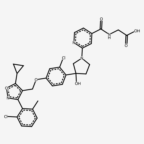 Cc1cccc(Cl)c1-c1noc(C2CC2)c1COc1ccc(C2(O)CCN(c3cc(C(=O)NCC(=O)O)ccn3)C2)c(Cl)c1